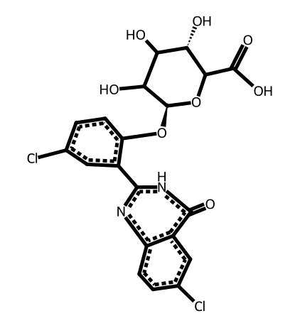 O=C(O)C1O[C@@H](Oc2ccc(Cl)cc2-c2nc3ccc(Cl)cc3c(=O)[nH]2)C(O)C(O)[C@@H]1O